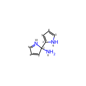 NC1(c2ccc[nH]2)C=CC=N1